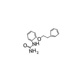 NC(=O)Nc1ccccc1OCCc1ccccc1